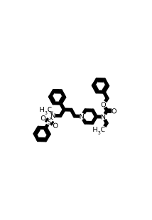 CCN(C(=O)OCc1ccccc1)C1CCN(CCC(CN(C)S(=O)(=O)c2ccccc2)c2ccccc2)CC1